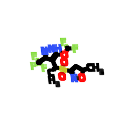 CC1CC(S(=O)(=O)C(C)c2c(C(F)(F)F)n[nH]c2OC(F)F)=NO1